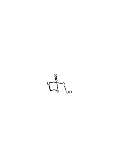 O=P1(OO)OCO1